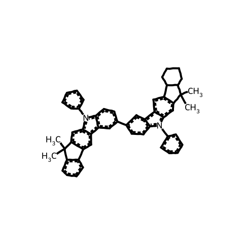 CC1(C)c2ccccc2-c2cc3c4cc(-c5ccc6c(c5)c5cc7c(cc5n6-c5ccccc5)C(C)(C)C5CCCCC75)ccc4n(-c4ccccc4)c3cc21